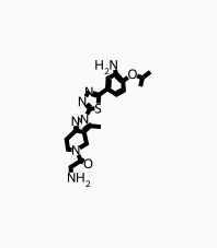 Cc1c2c(nn1-c1nnc(-c3ccc(OC(C)C)c(N)c3)s1)CCN(C(=O)CN)C2